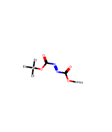 CCCCCCOC(=O)N=NC(=O)O[Si](CC)(CC)CC